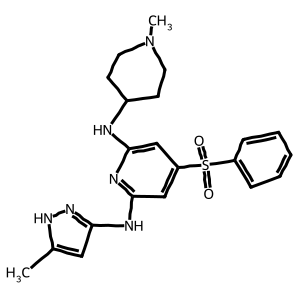 Cc1cc(Nc2cc(S(=O)(=O)c3ccccc3)cc(NC3CCN(C)CC3)n2)n[nH]1